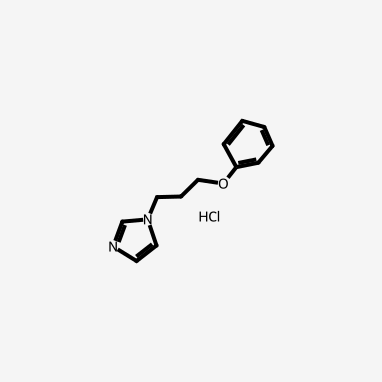 Cl.c1ccc(OCCCn2ccnc2)cc1